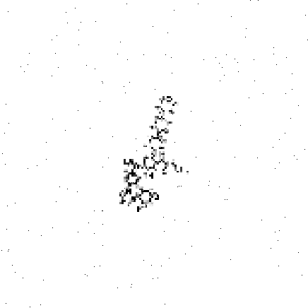 C=CC(=O)Nc1cc(Nc2cc(N3OCC[C@@H]3c3ccc(F)cc3F)ncn2)c(OC)cc1N1CCC(N2CCN(C3CCOCC3)CC2)CC1